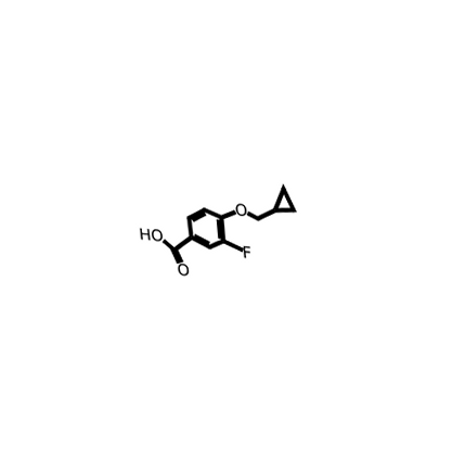 O=C(O)c1ccc(OCC2CC2)c(F)c1